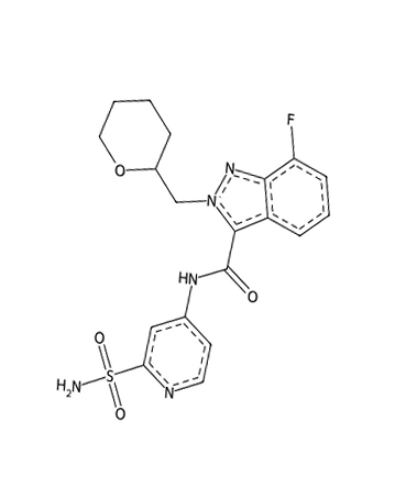 NS(=O)(=O)c1cc(NC(=O)c2c3cccc(F)c3nn2CC2CCCCO2)ccn1